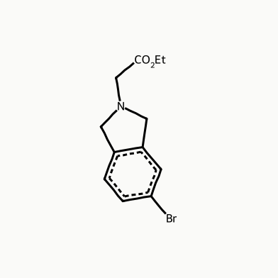 CCOC(=O)CN1Cc2ccc(Br)cc2C1